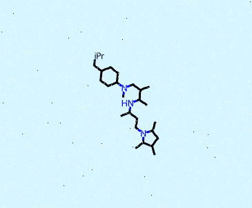 CC(C)CC1CCC(N(C)CC(C)C(C)NC(C)CCN2C(C)CC(C)C2C)CC1